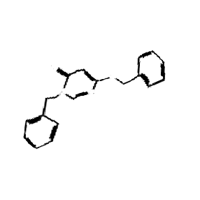 O=c1cc(SCc2ccccc2)ncn1Cc1ccccc1